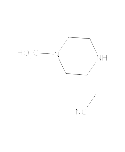 N#CC[C@@H]1CN(C(=O)O)CCN1